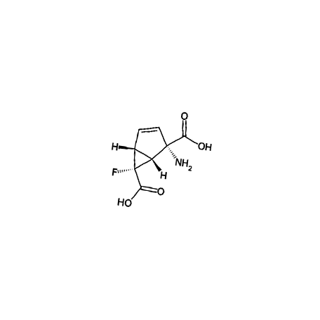 N[C@@]1(C(=O)O)C=C[C@@H]2[C@H]1[C@@]2(F)C(=O)O